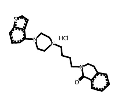 Cl.O=C1c2ccccc2CCN1CCCCN1CCN(c2cccc3sccc23)CC1